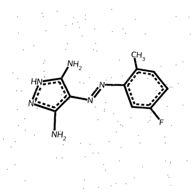 Cc1ccc(F)cc1N=Nc1c(N)n[nH]c1N